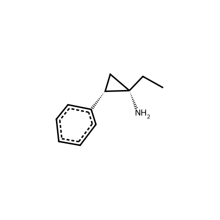 CC[C@]1(N)C[C@H]1c1ccccc1